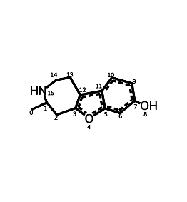 CC1Cc2oc3cc(O)ccc3c2CCN1